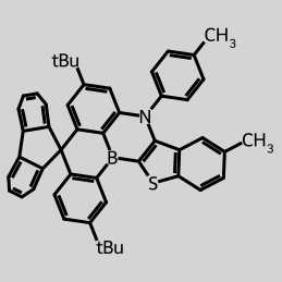 Cc1ccc(N2c3cc(C(C)(C)C)cc4c3B(c3cc(C(C)(C)C)ccc3C43c4ccccc4-c4ccccc43)c3sc4ccc(C)cc4c32)cc1